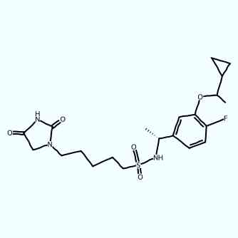 CC(Oc1cc([C@@H](C)NS(=O)(=O)CCCCCN2CC(=O)NC2=O)ccc1F)C1CC1